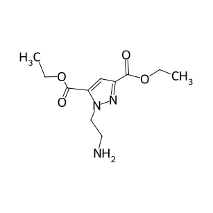 CCOC(=O)c1cc(C(=O)OCC)n(CCN)n1